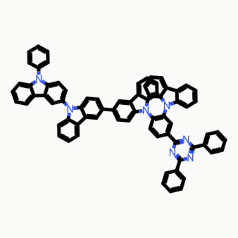 c1ccc(-c2nc(-c3ccccc3)nc(-c3ccc(-n4c5ccccc5c5cc(-c6ccc7c(c6)c6ccccc6n7-c6ccc7c(c6)c6ccccc6n7-c6ccccc6)ccc54)c(-n4c5ccccc5c5ccccc54)c3)n2)cc1